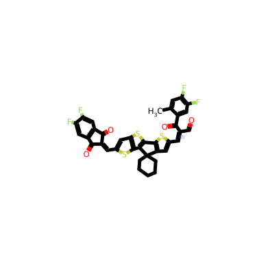 Cc1cc(F)c(F)cc1C(=O)/C(C=O)=C\c1cc2c(s1)-c1sc3cc(C=C4C(=O)c5cc(F)c(F)cc5C4=O)sc3c1C21CCCCC1